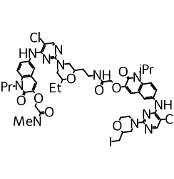 CCC1CN(c2ncc(Cl)c(Nc3ccc4c(c3)cc(OCC(=O)NC)c(=O)n4C(C)C)n2)CC(CCNC(=O)COc2cc3cc(Nc4nc(N5CCOC(CI)C5)ncc4Cl)ccc3n(C(C)C)c2=O)O1